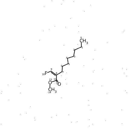 CCCCCCCCC(=CF)C(=O)OC